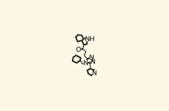 O=C(CCc1nnc(-c2cccnc2)n1Cc1ccccc1)c1c[nH]c2ccccc12